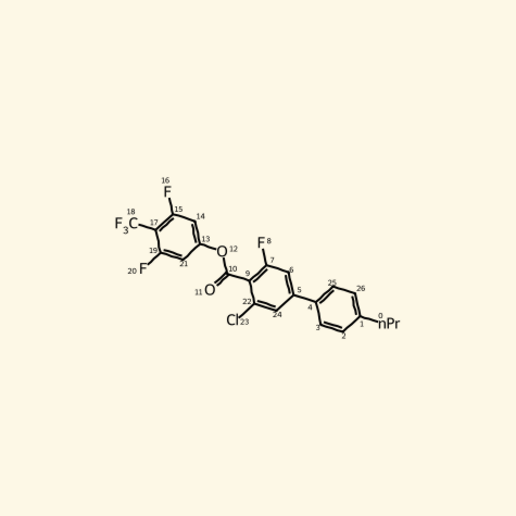 CCCc1ccc(-c2cc(F)c(C(=O)Oc3cc(F)c(C(F)(F)F)c(F)c3)c(Cl)c2)cc1